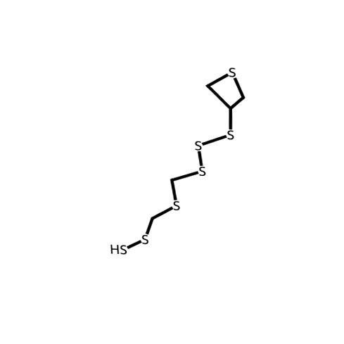 SSCSCSSSC1CSC1